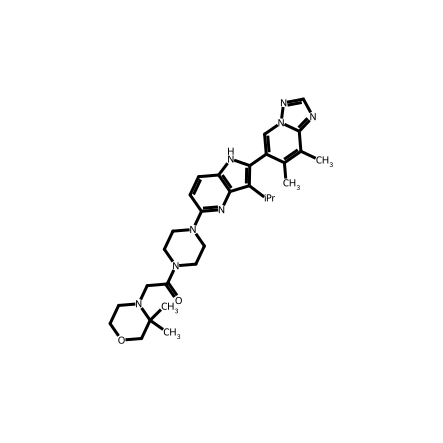 Cc1c(-c2[nH]c3ccc(N4CCN(C(=O)CN5CCOCC5(C)C)CC4)nc3c2C(C)C)cn2ncnc2c1C